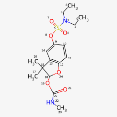 CCN(CC)S(=O)(=O)Oc1ccc2c(c1)C(C)(C)C(OC(=O)NC)O2